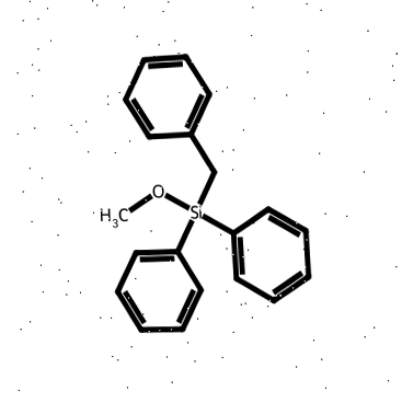 CO[Si](Cc1ccccc1)(c1ccccc1)c1ccccc1